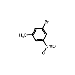 Cc1[c]c(Br)cc([N+](=O)[O-])c1